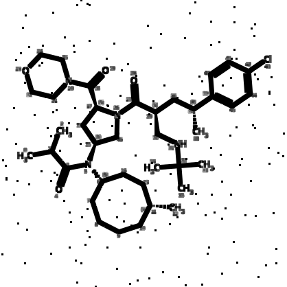 CC(C)C(=O)N([C@H]1CCCC[C@@H](C)CC1)[C@H]1C[C@@H](C(=O)N2CCOCC2)N(C(=O)[C@H](CNC(C)(C)C)C[C@@H](C)c2ccc(Cl)cc2)C1